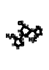 Cn1ccnc1-c1cc(Cl)cc(-c2nccn2C)n1